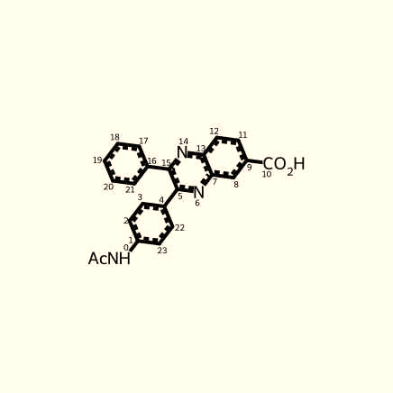 CC(=O)Nc1ccc(-c2nc3cc(C(=O)O)ccc3nc2-c2ccccc2)cc1